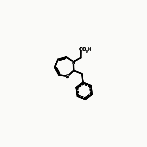 O=C(O)CN1C=CC=CSC1Cc1ccccc1